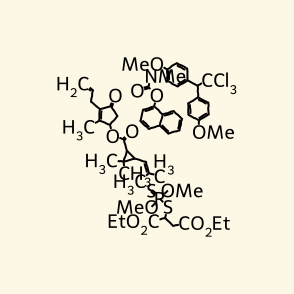 C=CCC1=C(C)C(OC(=O)C2C(C=C(C)C)C2(C)C)CC1=O.CCOC(=O)CC(SP(=S)(OC)OC)C(=O)OCC.CNC(=O)Oc1cccc2ccccc12.COc1ccc(C(c2ccc(OC)cc2)C(Cl)(Cl)Cl)cc1